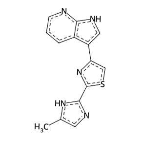 Cc1cnc(-c2nc(-c3c[nH]c4ncccc34)cs2)[nH]1